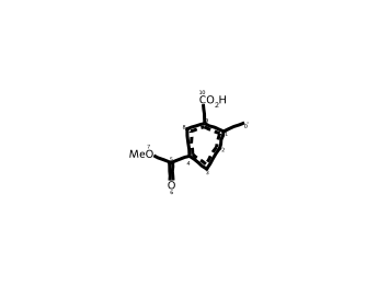 [CH2]c1ccc(C(=O)OC)cc1C(=O)O